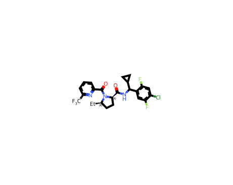 CC[C@@H]1CC[C@H](C(=O)NC(c2cc(F)c(Cl)cc2F)C2CC2)N1C(=O)c1cccc(C(F)(F)F)n1